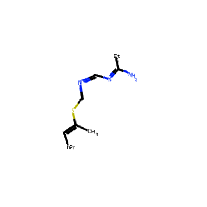 CCC/C=C(\C)SC/N=C\N=C(\N)CC